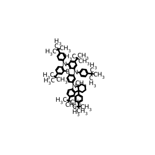 CC(C)(C)c1ccc(N2c3ccc(C(C)(C)C)cc3B3c4ccc(N5c6ccc(C(C)(C)C)cc6C6(c7ccc(C(C)(C)C)cc7)CCCCC56C)cc4N(c4ccc(C(C)(C)C)cc4)c4cc(C(C)(C)C)cc2c43)cc1